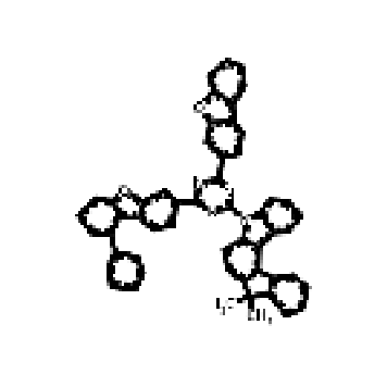 CC1(C)c2ccccc2-c2c1ccc1c2c2ccccc2n1-c1nc(-c2ccc3c(c2)oc2ccccc23)nc(-c2ccc3c(c2)oc2cccc(-c4ccccc4)c23)n1